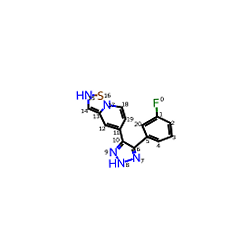 Fc1cccc(-c2n[nH]nc2C2=CC3=CNSN3C=C2)c1